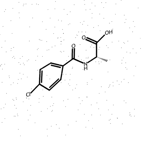 C[C@H](NC(=O)c1ccc(Cl)cc1)C(=O)O